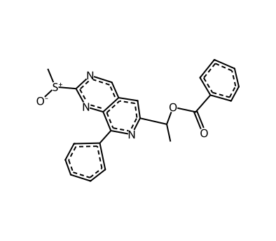 CC(OC(=O)c1ccccc1)c1cc2cnc([S+](C)[O-])nc2c(-c2ccccc2)n1